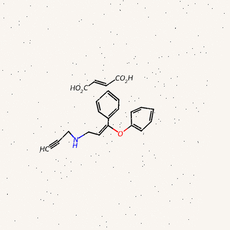 C#CCNCC=C(Oc1ccccc1)c1ccccc1.O=C(O)C=CC(=O)O